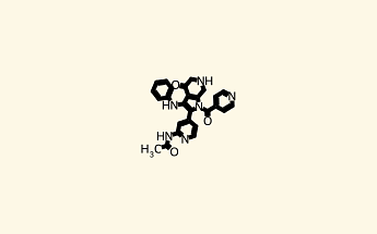 CC(=O)Nc1cc(-c2c(Nc3ccccc3)c3c(n2C(=O)c2ccncc2)CNCC3=O)ccn1